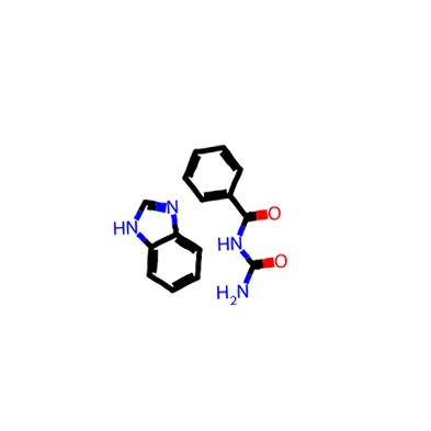 NC(=O)NC(=O)c1ccccc1.c1ccc2[nH]cnc2c1